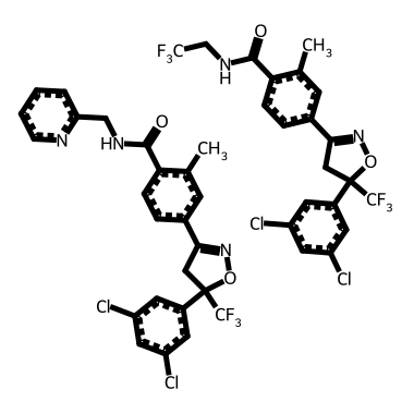 Cc1cc(C2=NOC(c3cc(Cl)cc(Cl)c3)(C(F)(F)F)C2)ccc1C(=O)NCC(F)(F)F.Cc1cc(C2=NOC(c3cc(Cl)cc(Cl)c3)(C(F)(F)F)C2)ccc1C(=O)NCc1ccccn1